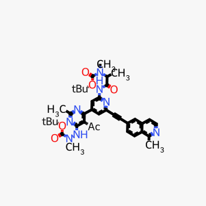 CC(=O)c1c(NN(C)C(=O)OC(C)(C)C)nc(C)nc1-c1cc(C#Cc2ccc3c(C)nccc3c2)nc(NC(=O)C(C)N(C)C(=O)OC(C)(C)C)c1